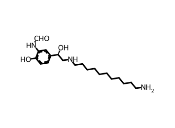 NCCCCCCCCCCCNC[C@H](O)c1ccc(O)c(NC=O)c1